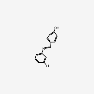 Oc1ccc(C=Nc2cccc(Cl)c2)cc1